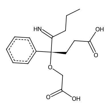 CCCC(=N)[C@](CCC(=O)O)(OCC(=O)O)c1ccccc1